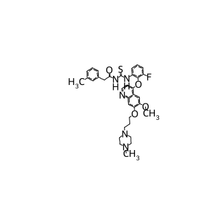 COc1cc2c(Oc3c(F)cccc3NC(=S)NC(=O)Cc3cccc(C)c3)ccnc2cc1OCCCN1CCN(C)CC1